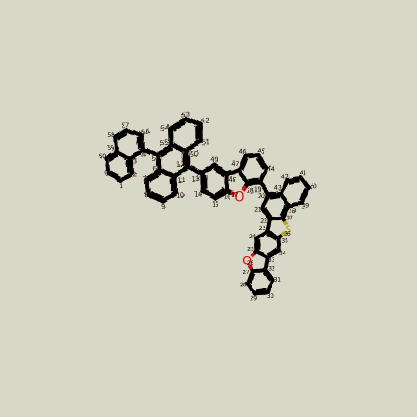 c1ccc2c(-c3c4ccccc4c(-c4ccc5oc6c(-c7cc8c9cc%10oc%11ccccc%11c%10cc9sc8c8ccccc78)cccc6c5c4)c4ccccc34)cccc2c1